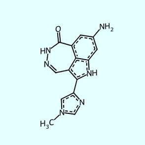 Cn1cnc(-c2[nH]c3cc(N)cc4c3c2C=NNC4=O)c1